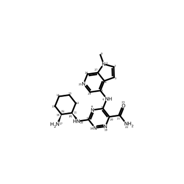 Cn1ccc2c(Nc3nc(N[C@@H]4CCCC[C@@H]4N)nnc3C(N)=O)cncc21